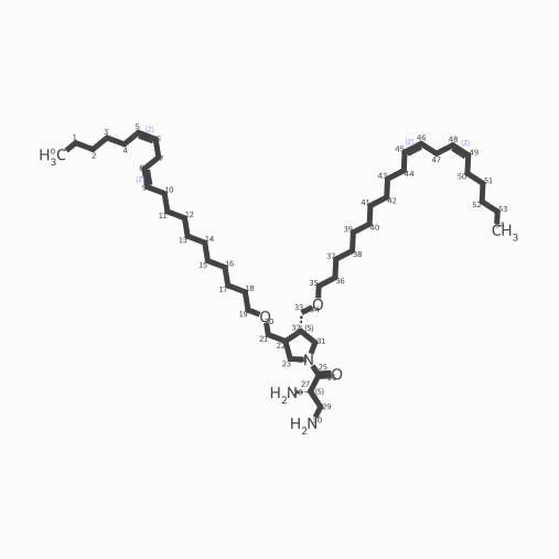 CCCCC/C=C\C/C=C\CCCCCCCCCCOCC1CN(C(=O)[C@@H](N)CN)C[C@H]1COCCCCCCCCCC/C=C\C/C=C\CCCCC